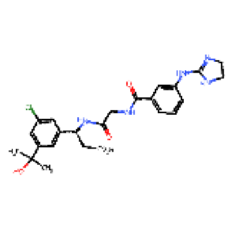 CC(C)(O)c1cc(Cl)cc([C@H](CC(=O)O)NC(=O)CNC(=O)c2cccc(NC3=NCCN3)c2)c1